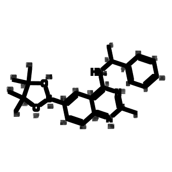 Cc1nc(NC(C)c2ccccc2)c2cc(B3OC(C)(C)C(C)(C)O3)ccc2n1